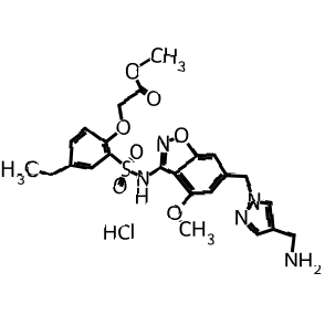 CCc1ccc(OCC(=O)OC)c(S(=O)(=O)Nc2noc3cc(Cn4cc(CN)cn4)cc(OC)c23)c1.Cl